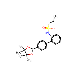 CCCS(=O)(=O)Nc1ccccc1-c1ccc(B2OC(C)(C)C(C)(C)O2)cc1